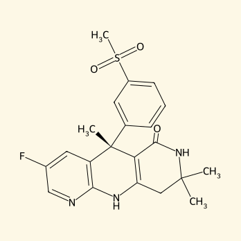 CC1(C)CC2=C(C(=O)N1)[C@@](C)(c1cccc(S(C)(=O)=O)c1)c1cc(F)cnc1N2